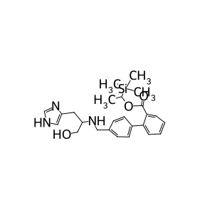 CC(OC(=O)c1ccccc1-c1ccc(CNC(CO)Cc2c[nH]cn2)cc1)[Si](C)(C)C